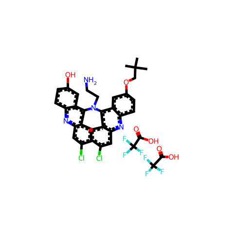 CC(C)(C)COc1ccc2nc3cc(Cl)ccc3c(N(CCN)c3c4ccc(Cl)cc4nc4ccc(O)cc34)c2c1.O=C(O)C(F)(F)F.O=C(O)C(F)(F)F